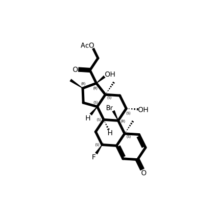 CC(=O)OCC(=O)[C@@]1(O)[C@H](C)C[C@H]2[C@@H]3C[C@H](F)C4=CC(=O)C=C[C@]4(C)[C@@]3(Br)[C@@H](O)C[C@@]21C